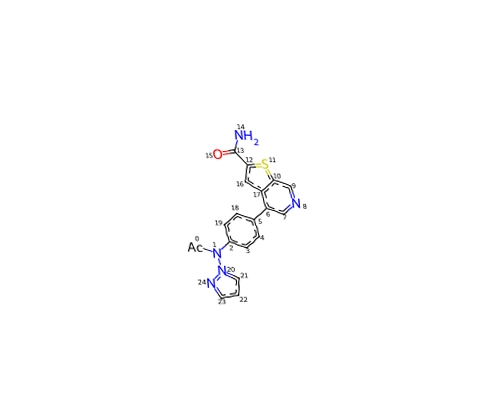 CC(=O)N(c1ccc(-c2cncc3sc(C(N)=O)cc23)cc1)n1cccn1